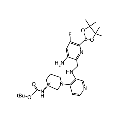 CC(C)(C)OC(=O)N[C@H]1CCCN(c2ccncc2NCc2nc(B3OC(C)(C)C(C)(C)O3)c(F)cc2N)C1